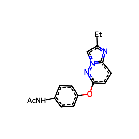 CCc1cn2nc(Oc3ccc(NC(C)=O)cc3)ccc2n1